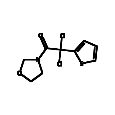 O=C(N1CCOC1)C(Cl)(Cl)c1cccs1